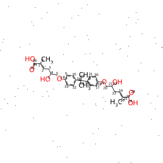 C/C(=C\CC(O)COc1ccc(C(C)(C)c2ccc(OCC(O)C/C=C(\C)C(=O)O)cc2)cc1)C(=O)O